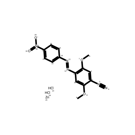 COc1cc([N+]#N)c(OC)cc1N=Nc1ccc([N+](=O)[O-])cc1.Cl.Cl.[Zn]